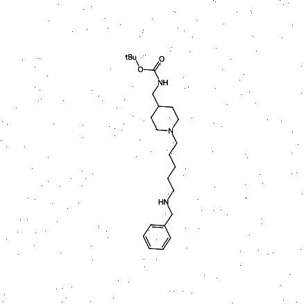 CC(C)(C)OC(=O)NCC1CCN(CCCCCNCc2ccccc2)CC1